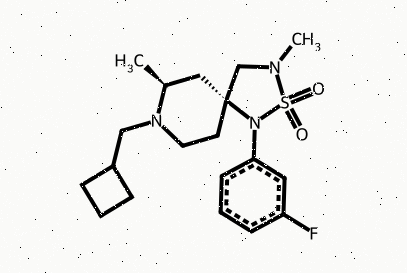 C[C@H]1C[C@]2(CCN1CC1CCC1)CN(C)S(=O)(=O)N2c1cccc(F)c1